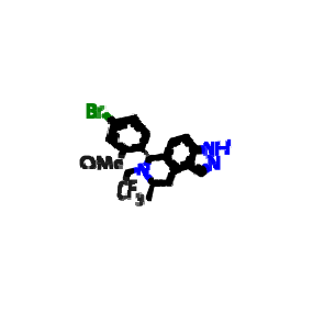 COc1cc(Br)ccc1[C@@H]1c2ccc3[nH]ncc3c2C[C@@H](C)N1CC(F)(F)F